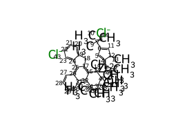 C[C](C)=[Zr+2]([C]1=CC(C(C)(C)C)=CC1C)[C]1(C)C2=C3Cc4ccccc4C3=C3C=CCCC3C2(C)C(C)(C)C(C)(C)C1(C)C.[Cl-].[Cl-]